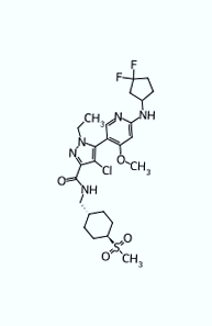 CCn1nc(C(=O)NC[C@H]2CC[C@H](S(C)(=O)=O)CC2)c(Cl)c1-c1cnc(NC2CCC(F)(F)C2)cc1OC